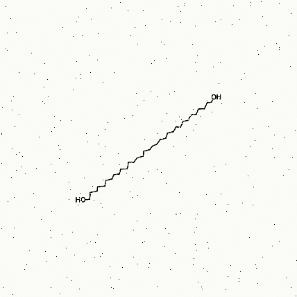 OCCCCCCCCCCCCCCCCCCCCCCCCCCCCCCCCCO